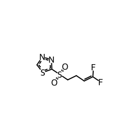 O=S(=O)(CCC=C(F)F)c1nncs1